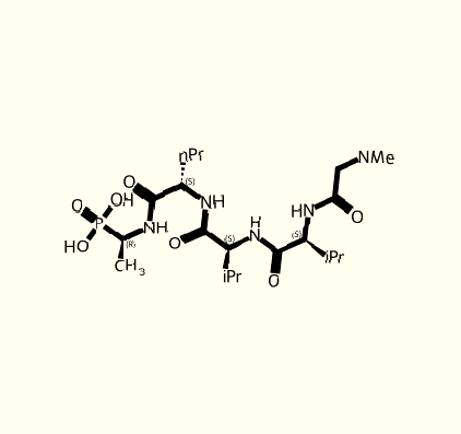 CCC[C@H](NC(=O)[C@@H](NC(=O)[C@@H](NC(=O)CNC)C(C)C)C(C)C)C(=O)N[C@@H](C)P(=O)(O)O